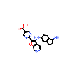 N=C1CCc2cc(Nc3c(-c4ncc(C(=O)O)cn4)oc4cnccc34)ccc21